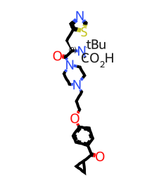 CC(C)(C)N(C(=O)O)[C@H](Cc1cncs1)C(=O)N1CCN(CCCOc2ccc(C(=O)C3CC3)cc2)CC1